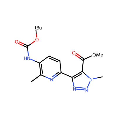 COC(=O)c1c(-c2ccc(NC(=O)OC(C)(C)C)c(C)n2)nnn1C